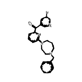 O=C(c1cncc(Br)c1)c1cccc(N2CCCN(Cc3ccccc3)CC2)n1